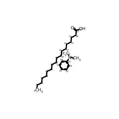 CCCCCCCCCCCCCCCCCC(=O)O.CN(C)c1ccccc1